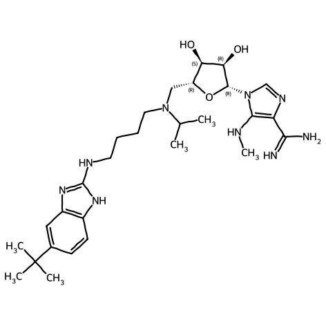 CNc1c(C(=N)N)ncn1[C@@H]1O[C@H](CN(CCCCNc2nc3cc(C(C)(C)C)ccc3[nH]2)C(C)C)[C@@H](O)[C@H]1O